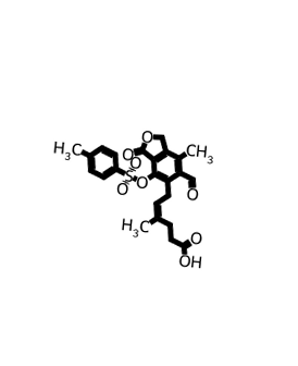 CC(=CCc1c(C=O)c(C)c2c(c1OS(=O)(=O)c1ccc(C)cc1)C(=O)OC2)CCC(=O)O